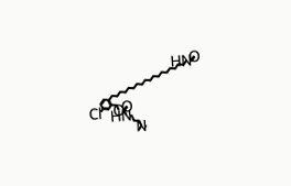 CN(C)CCCNC(=O)OCc1cc(Cl)ccc1CCCCCCCCCCCCCCCCCCNC=O